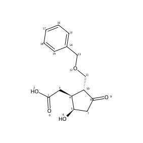 O=C(O)C[C@@H]1[C@H](O)CC(=O)[C@H]1COCc1ccccc1